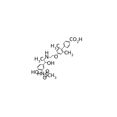 Cc1cc(OCCN[C@@H](C)[C@@H](O)c2ccc(O)c(NS(C)(=O)=O)c2)cc(C)c1-c1ccc(C(=O)O)cc1